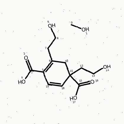 CO.O=C(O)C1=C(CCO)CC(CCO)(C(=O)O)C=C1